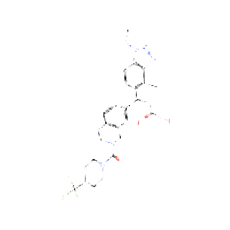 CCn1nnc2c(C)c(C(CC(=O)O)c3ccc4c(c3)CN(C(=O)N3CCC(C(F)(F)F)CC3)CC4)ccc21